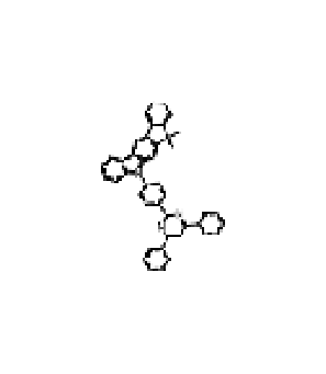 CC1(C)C2=CCCC=C2c2cc3c4ccccc4n(-c4ccc(C5=NC(c6ccccc6)CC(c6ccccc6)=N5)cc4)c3cc21